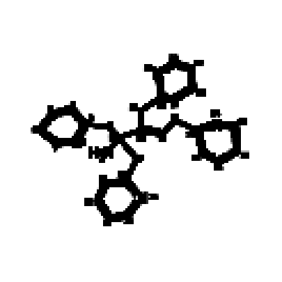 NC(Cc1ccccn1)(Cc1ccccn1)/C(=C/Cc1ccccn1)Cc1ccccn1